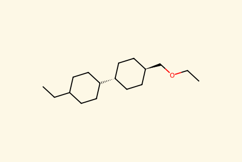 CCOC[C@H]1CC[C@H](C2CCC(CC)CC2)CC1